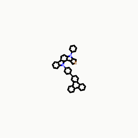 c1ccc(-n2c3cscc3c3c2ccc2c4ccccc4n(-c4ccc(-c5ccc6c7ccccc7c7ccccc7c6c5)cc4)c23)cc1